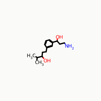 CC(C)C(O)CCc1cccc(C(O)CCN)c1